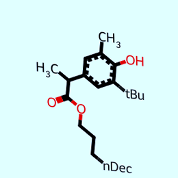 CCCCCCCCCCCCCOC(=O)C(C)c1cc(C)c(O)c(C(C)(C)C)c1